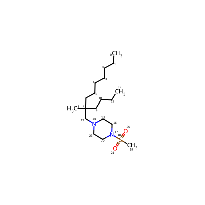 CCCCCCCC(C)(CCCC)CN1CCN(S(C)(=O)=O)CC1